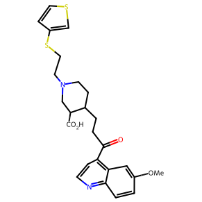 COc1ccc2nccc(C(=O)CCC3CCN(CCSc4ccsc4)CC3C(=O)O)c2c1